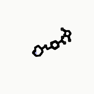 O=C(ON1C(=O)CCC1=O)c1ccc(COC2CC/C=C/CCC2)cc1